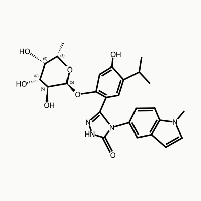 CC(C)c1cc(-c2n[nH]c(=O)n2-c2ccc3c(ccn3C)c2)c(O[C@@H]2O[C@@H](C)[C@@H](O)[C@@H](O)[C@@H]2O)cc1O